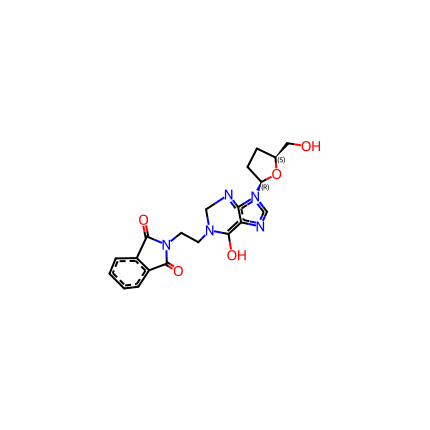 O=C1c2ccccc2C(=O)N1CCN1CN=c2c(ncn2[C@H]2CC[C@@H](CO)O2)=C1O